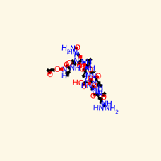 CC[C@H](NC(=O)[C@H](C)NC(=O)[C@H](CC(C)C)NC(=O)[C@H](CC(=O)O)NC(=O)CNC(=O)[C@H](CCCNC(=N)N)NC(C)=O)C(=O)N[C@@H](CC(C)C)C(=O)N[C@@H](CCCNC(N)=O)C(=O)NC(C)(C)C(=O)N[C@@H](CC(C)C)C(=O)NCCOCCC(C)=O